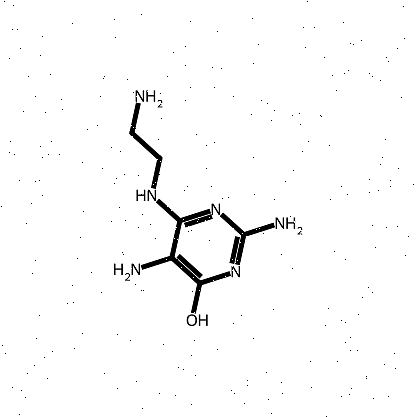 NCCNc1nc(N)nc(O)c1N